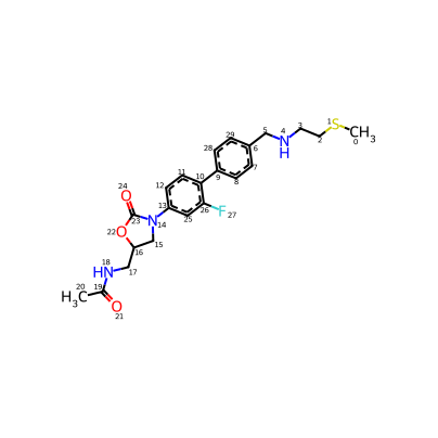 CSCCNCc1ccc(-c2ccc(N3CC(CNC(C)=O)OC3=O)cc2F)cc1